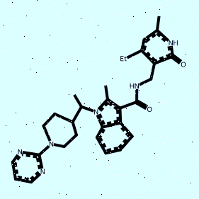 CCc1cc(C)[nH]c(=O)c1CNC(=O)c1c(C)n(C(C)C2CCN(c3ncccn3)CC2)c2ccccc12